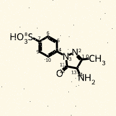 CC1=NN(c2ccc(S(=O)(=O)O)cc2)C(=O)C1N